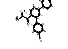 C=C(C(=O)c1cnc(-c2ccccc2)cc1-c1ccc(F)cc1)C(C)C